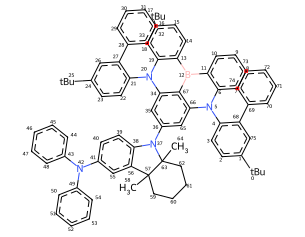 CC(C)(C)c1ccc(N2c3ccccc3B3c4ccc(C(C)(C)C)cc4N(c4ccc(C(C)(C)C)cc4-c4ccccc4)c4cc(N5c6ccc(N(c7ccccc7)c7ccccc7)cc6C6(C)CCCCC56C)cc2c43)c(-c2ccccc2)c1